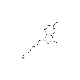 ClCCOCCn1nc(I)c2cc(Cl)ccc21